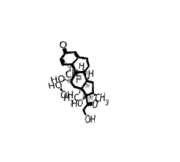 C[C@@H]1C[C@H]2[C@@H]3CCC4=CC(=O)C=C[C@]4(C)[C@@]3(F)[C@@H](O)C[C@]2(C)[C@@]1(O)C(=O)CO.OO